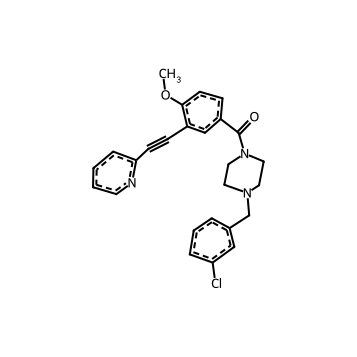 COc1ccc(C(=O)N2CCN(Cc3cccc(Cl)c3)CC2)cc1C#Cc1ccccn1